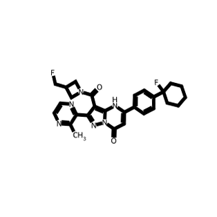 Cc1nccnc1-c1nn2c(=O)cc(-c3ccc(C4(F)CCCCC4)cc3)[nH]c2c1C(=O)N1CC(CF)C1